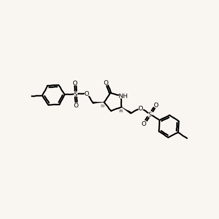 Cc1ccc(S(=O)(=O)OC[C@H]2C[C@@H](COS(=O)(=O)c3ccc(C)cc3)C(=O)N2)cc1